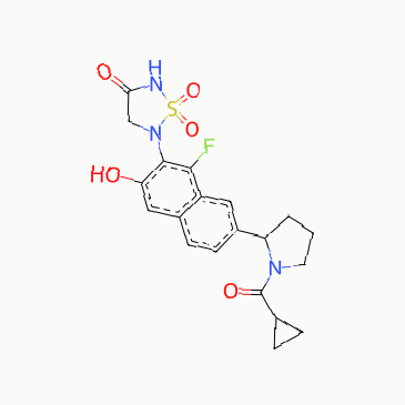 O=C1CN(c2c(O)cc3ccc(C4CCCN4C(=O)C4CC4)cc3c2F)S(=O)(=O)N1